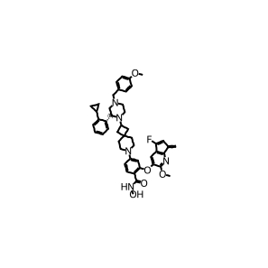 C=C1C=C(F)c2cc(Oc3cc(N4CCC5(CC4)CC(N4CCN(Cc6ccc(OC)cc6)C[C@H]4c4ccccc4C4CC4)C5)ccc3C(=O)NO)c(OC)nc21